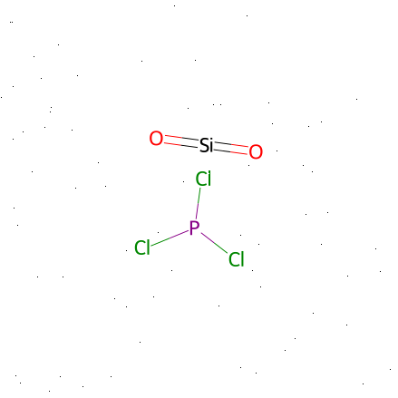 ClP(Cl)Cl.O=[Si]=O